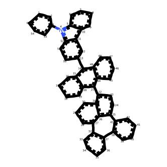 c1ccc(-n2c3ccccc3c3cc(-c4c5ccccc5c(-c5ccc6c7c(cccc57)-c5ccccc5-c5ccccc5-6)c5ccccc45)ccc32)cc1